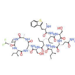 CC[C@H](C)[C@H](NC(=O)[C@@H](Cc1csc2ccccc12)NC)C(=O)N[C@@H](CO)C(=O)N[C@H](CCC(N)=O)C(=O)N[C@@H](C(=O)N[C@H](C(=O)N[C@@H](CO)C(=O)N[C@H]1C(=O)N[C@@H](C)C(=O)N[C@@]2(C[C@H]2CC(F)F)C(=O)N[C@@H]([C@@H](C)CC)C(=O)N[C@H]1C)[C@@H](C)CC)[C@@H](C)CC